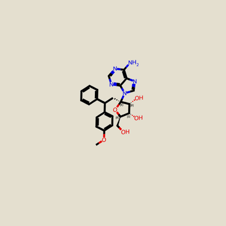 COc1ccc(C(C[C@@]2(n3cnc4c(N)ncnc43)O[C@H](CO)[C@@H](O)[C@H]2O)c2ccccc2)cc1